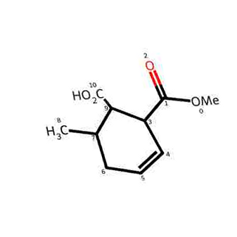 COC(=O)C1C=CCC(C)C1C(=O)O